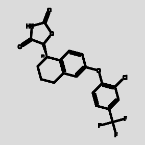 O=C1NC(=O)C([C@@H]2CCCc3cc(Oc4ccc(C(F)(F)F)cc4Cl)ccc32)O1